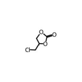 O=C1OC[C](CCl)O1